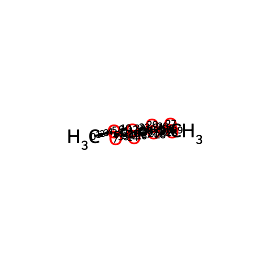 CC#CC#COC(=O)c1ccc(OC(=O)c2ccc(C(=O)Oc3ccc(C(=O)OC)cc3)cc2)cc1